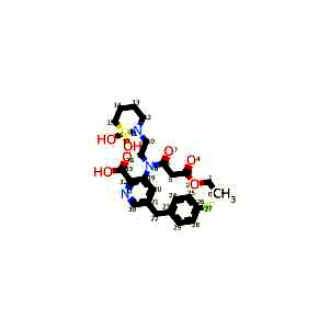 CCOC(=O)CC(=O)N(CCN1CCCCS1(O)O)c1cc(Cc2ccc(F)cc2)cnc1C(=O)O